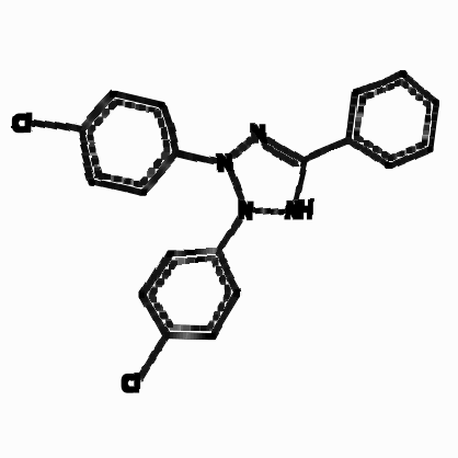 Clc1ccc(N2N=C(c3ccccc3)NN2c2ccc(Cl)cc2)cc1